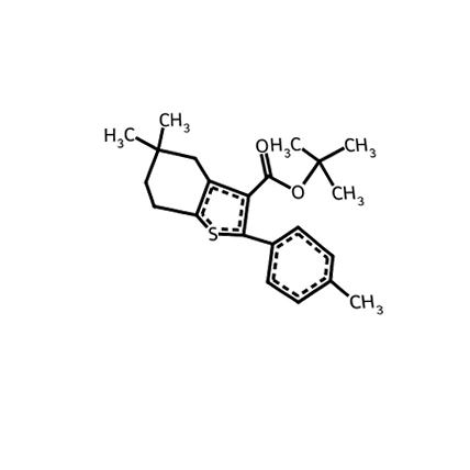 Cc1ccc(-c2sc3c(c2C(=O)OC(C)(C)C)CC(C)(C)CC3)cc1